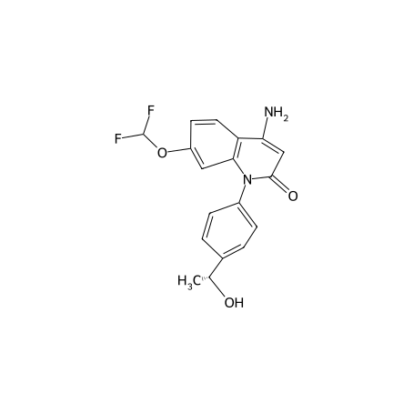 C[C@@H](O)c1ccc(-n2c(=O)cc(N)c3ccc(OC(F)F)cc32)cc1